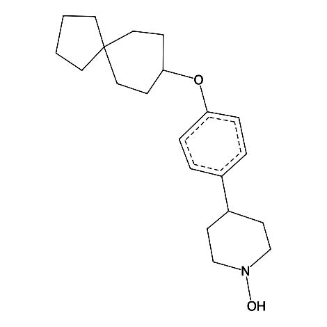 ON1CCC(c2ccc(OC3CCC4(CCCC4)CC3)cc2)CC1